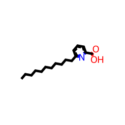 CCCCCCCCCCCc1cccc(C(=O)O)n1